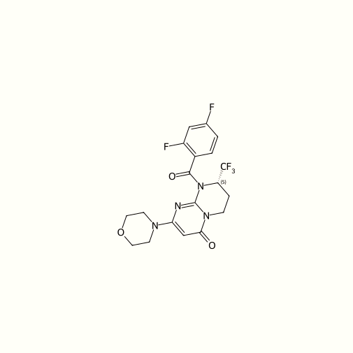 O=C(c1ccc(F)cc1F)N1c2nc(N3CCOCC3)cc(=O)n2CC[C@H]1C(F)(F)F